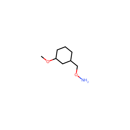 COC1CCCC(CON)C1